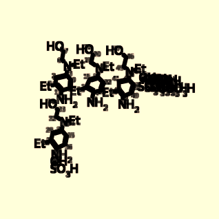 CCc1cc(N(CC)CCO)ccc1N.CCc1cc(N(CC)CCO)ccc1N.CCc1cc(N(CC)CCO)ccc1N.CCc1cc(N(CC)CCO)ccc1N.O=S(=O)(O)O.O=S(=O)(O)O.O=S(=O)(O)O.O=S(=O)(O)O.O=S(=O)(O)O.O=S(=O)(O)O.O=S(=O)(O)O